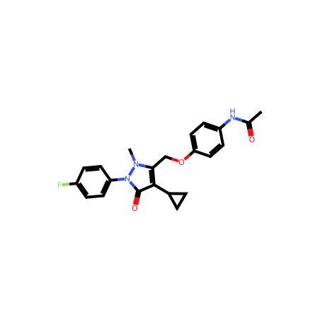 CC(=O)Nc1ccc(OCc2c(C3CC3)c(=O)n(-c3ccc(F)cc3)n2C)cc1